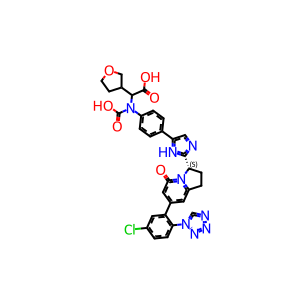 O=C(O)C(C1CCOC1)N(C(=O)O)c1ccc(-c2cnc([C@@H]3CCc4cc(-c5cc(Cl)ccc5-n5cnnn5)cc(=O)n43)[nH]2)cc1